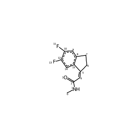 CNC(=O)/C=C1/CCc2cc(F)c(F)cc21